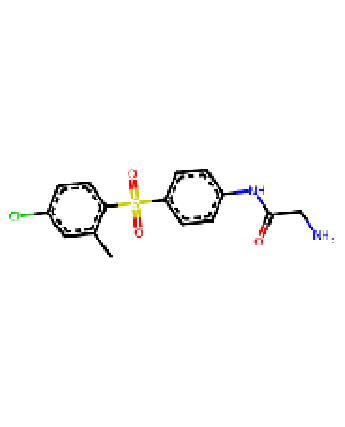 Cc1cc(Cl)ccc1S(=O)(=O)c1ccc(NC(=O)CN)cc1